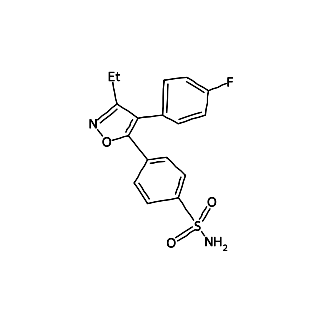 CCc1noc(-c2ccc(S(N)(=O)=O)cc2)c1-c1ccc(F)cc1